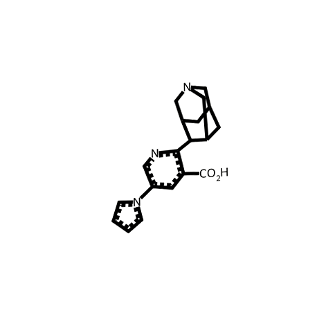 O=C(O)c1cc(-n2cccc2)cnc1C1C2CC3CC1CN(C3)C2